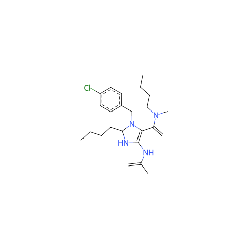 C=C(C)NC1=C(C(=C)N(C)CCCC)N(Cc2ccc(Cl)cc2)C(CCCC)N1